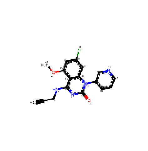 C#CCNc1nc(=O)n(-c2cccnc2)c2cc(Cl)cc(OC)c12